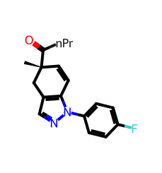 CCCC(=O)[C@]1(C)C=Cc2c(cnn2-c2ccc(F)cc2)C1